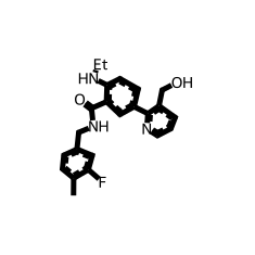 CCNc1ccc(-c2ncccc2CO)cc1C(=O)NCc1ccc(C)c(F)c1